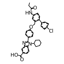 CCC(=O)Nc1ccc(-c2ccc(Cl)cc2)c(COc2ccc(-c3nc4cc(C(=O)O)ccc4n3C3CCCCC3)cc2)c1